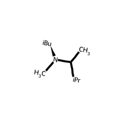 CC[C@H](C)N(C)C(C)C(C)C